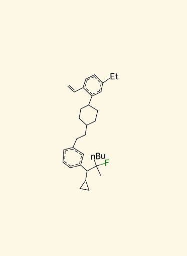 C=Cc1ccc(CC)cc1C1CCC(CCc2cccc(C(C3CC3)C(C)(F)CCCC)c2)CC1